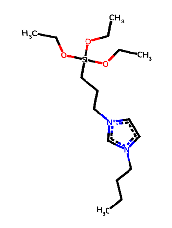 CCCCn1cc[n+](CCC[Si](OCC)(OCC)OCC)c1